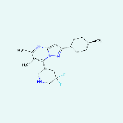 Cc1nc2cc([C@H]3CC[C@H](C(F)(F)F)CC3)nn2c(C2CNCC(F)(F)C2)c1C